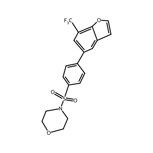 O=S(=O)(c1ccc(-c2cc(C(F)(F)F)c3occc3c2)cc1)N1CCOCC1